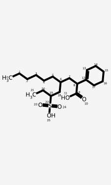 CCCCCCC(CC(C(=O)O)C1=CCCCC1)CC(CC)S(=O)(=O)O